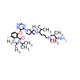 CC(C)C(CCCN(C)C[C@H](C)C(N)=O)N1CC2(CCN(c3ncnnc3Oc3ccc(F)cc3C(=O)N(C(C)C)C(C)C)C2)C1